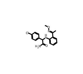 CON=C(C)c1ccccc1NC(C(N)=O)c1ccc(Cl)cc1